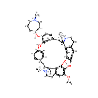 COc1cc2c3c4c1Oc1cc5c(cc1O4)[C@H](Cc1ccc(OC4CCCN(C)CC4)c(c1)Oc1ccc(cc1)C[C@@H]3N(C)CC2)N(C)CC5